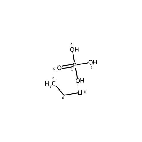 O=P(O)(O)O.[Li][CH2]C